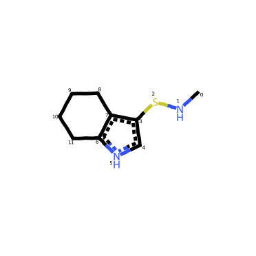 CNSc1c[nH]c2c1CCCC2